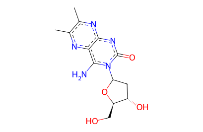 Cc1nc2nc(=O)n(C3C[C@H](O)[C@@H](CO)O3)c(N)c2nc1C